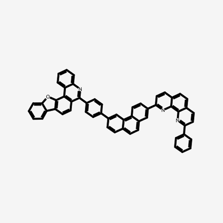 c1ccc(-c2ccc3ccc4ccc(-c5ccc6c(ccc7ccc(-c8ccc(-c9nc%10ccccc%10c%10c9ccc9c%11ccccc%11oc9%10)cc8)cc76)c5)nc4c3n2)cc1